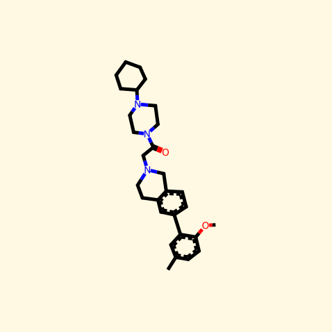 COc1ccc(C)cc1-c1ccc2c(c1)CCN(CC(=O)N1CCN(C3CCCCC3)CC1)C2